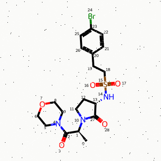 C[C@@H](C(=O)N1CCOCC1)N1CC[C@H](NS(=O)(=O)CCc2ccc(Br)cc2)C1=O